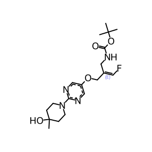 CC1(O)CCN(c2ncc(OC/C(=C/F)CNC(=O)OC(C)(C)C)cn2)CC1